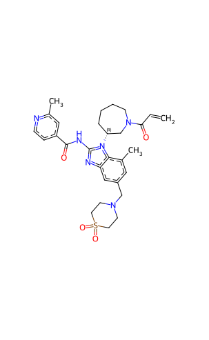 C=CC(=O)N1CCCC[C@@H](n2c(NC(=O)c3ccnc(C)c3)nc3cc(CN4CCS(=O)(=O)CC4)cc(C)c32)C1